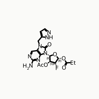 CCC(=O)O[C@H]1O[C@@H](n2c(=O)n(Cc3ccn[nH]3)c3cnc(N)nc32)[C@H](OC(C)=O)[C@H]1F